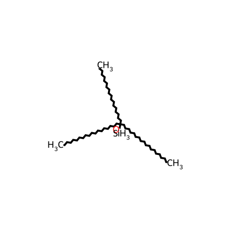 CCCCCCCCCCCCCCCCCCCC(CCCCCCCCCCCCCCCCCCC)(CCCCCCCCCCCCCCCCCCC)CO[SiH3]